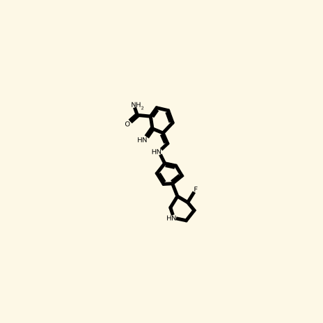 N=C1C(C(N)=O)=CC=C/C1=C/Nc1ccc(C2CNCCC2F)cc1